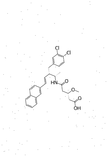 CO[C@H](CC(=O)O)CC(=O)N[C@@H](C)[C@H](/C=C/c1ccc2ccccc2c1)Cc1ccc(Cl)c(Cl)c1